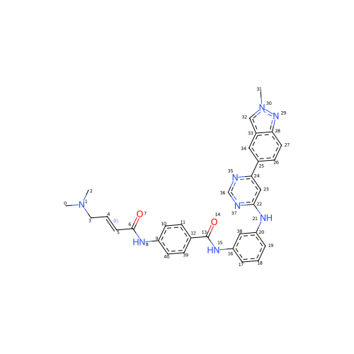 CN(C)C/C=C/C(=O)Nc1ccc(C(=O)Nc2cccc(Nc3cc(-c4ccc5nn(C)cc5c4)ncn3)c2)cc1